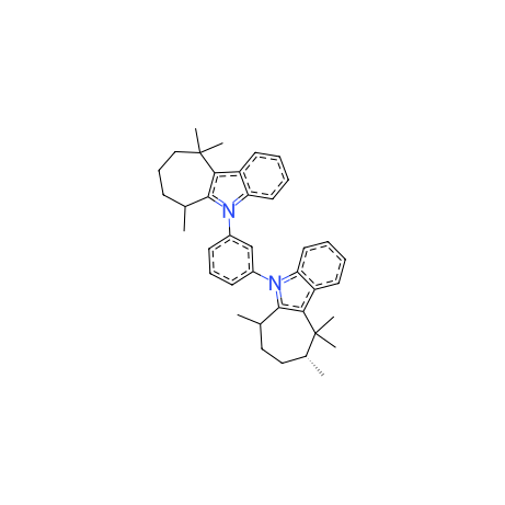 CC1CCCC(C)(C)c2c1n(-c1cccc(-n3c4c(c5ccccc53)C(C)(C)[C@H](C)CCC4C)c1)c1ccccc21